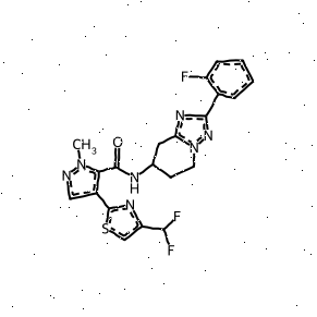 Cn1ncc(-c2nc(C(F)F)cs2)c1C(=O)NC1CCn2nc(-c3ccccc3F)nc2C1